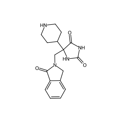 O=C1NC(=O)C(CN2Cc3ccccc3C2=O)(C2CCNCC2)N1